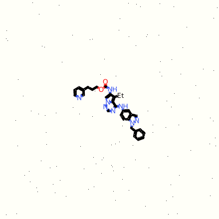 CCc1c(NC(=O)OCCCc2cccnc2)cn2ncnc(Nc3ccc4c(cnn4Cc4ccccc4)c3)c12